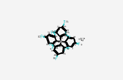 Fc1cc(F)c([B-](c2c(F)cc(F)cc2F)(c2c(F)cc(F)cc2F)c2c(F)cc(F)cc2F)c(F)c1.[Li+]